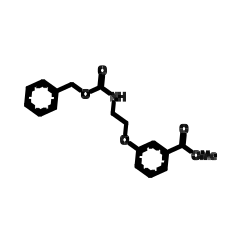 COC(=O)c1cccc(OCCNC(=O)OCc2ccccc2)c1